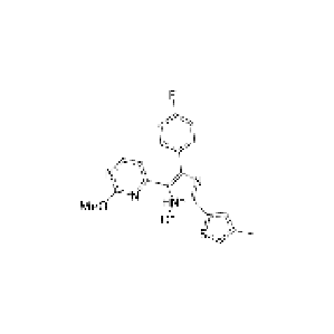 COc1nccc(C2=C(c3ccc(F)cc3)N=C(c3cc(C)cs3)[NH+]2[O-])n1